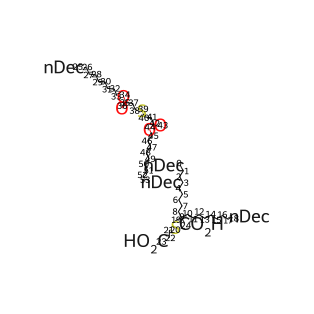 CCCCCCCCCCCCCCCCCCC(CCCCCCCCCCCCCCCCCC)(CSCCC(=O)O)C(=O)O.CCCCCCCCCCCCCCCCCCOC(=O)CCSCCC(=O)OCCCCCCCCCCCCCCCCCC